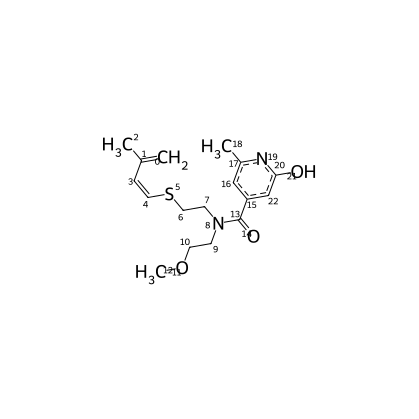 C=C(C)/C=C\SCCN(CCOC)C(=O)c1cc(C)nc(O)c1